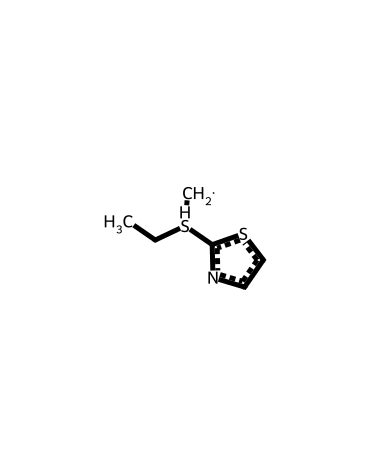 [CH2][SH](CC)c1nccs1